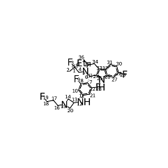 CC[C@](C)(F)CN1[C@@H](c2c(F)cc(NC3CN(CCCF)C3)cc2F)c2[nH]c3cc(F)ccc3c2C[C@@H]1C